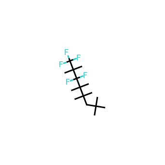 CC(C)(C)CC(C)(C)C(C)(C)C(F)(F)C(C)(C)C(F)(F)F